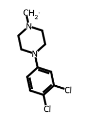 [CH2]N1CCN(c2ccc(Cl)c(Cl)c2)CC1